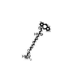 NNC(=O)CCOCCOCCOCCOCCNC(=O)CCC(=O)N1Cc2ccccc2C#Cc2ccccc21